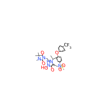 CC1c2cc(ccc2Oc2ccc(C(F)(F)F)cc2)N(S(C)(=O)=O)C[C@@H](C(=O)NO)N1CCN1C(=O)N(C)C(C)(C)C1=O